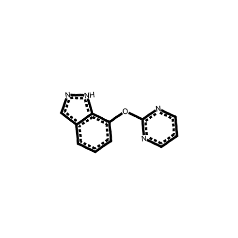 c1cnc(Oc2cccc3cn[nH]c23)nc1